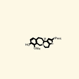 CCCCCc1cc2c(s1)CCN1Cc3c(ccc(O)c3OC)CC[C@@H]21